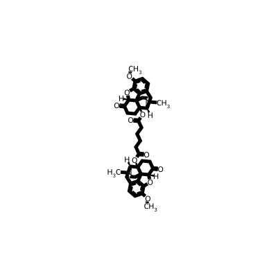 COc1ccc2c3c1O[C@H]1C(=O)CC[C@@]4(OC(=O)CCCCC(=O)O[C@@]56CCC(=O)[C@@H]7Oc8c(OC)ccc9c8C75CCN(C)[C@@H]6C9)[C@@H](C2)N(C)CCC314